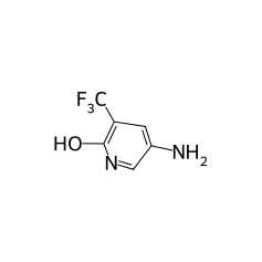 Nc1cnc(O)c(C(F)(F)F)c1